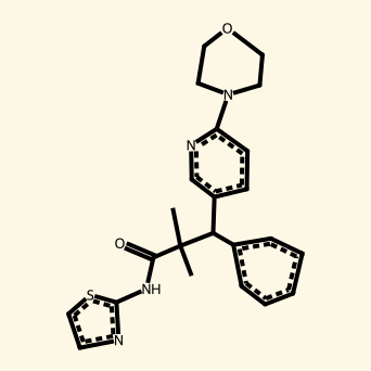 CC(C)(C(=O)Nc1nccs1)C(c1ccccc1)c1ccc(N2CCOCC2)nc1